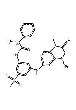 CC(C)N1CC(=O)N(C)c2cnc(Nc3cc(NC(=O)[C@H](N)c4ccccc4)cc(S(C)(=O)=O)c3)nc21